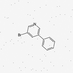 Brc1cncc(-c2ccccc2)c1